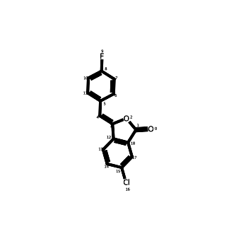 O=C1O/C(=C\c2ccc(F)cc2)c2ccc(Cl)cc21